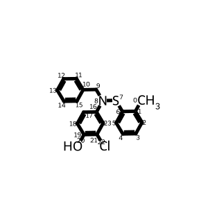 Cc1ccccc1SN(Cc1ccccc1)c1ccc(O)c(Cl)c1